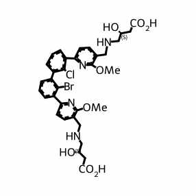 COc1nc(-c2cccc(-c3cccc(-c4ccc(CNC[C@@H](O)CC(=O)O)c(OC)n4)c3Br)c2Cl)ccc1CNC[C@@H](O)CC(=O)O